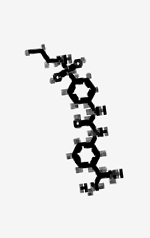 CCCNS(=O)(=O)c1ccc(NC(=O)Nc2cccc(C(=N)N)c2)cc1